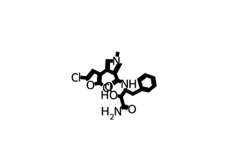 Cn1cc(C(=O)NC(Cc2ccccc2)C(O)C(N)=O)c(-c2cc(Cl)oc2Cl)c1